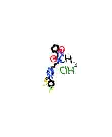 CN(CCCCN1CCN(c2csc3cc(F)ccc23)CC1)C(=O)c1noc2ccccc12.Cl